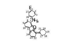 Fc1ccc(N(I)c2cccc3c2oc2c(C4CCCCC4)cccc23)cc1